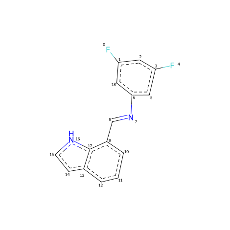 Fc1cc(F)cc(/N=C/c2cccc3cc[nH]c23)c1